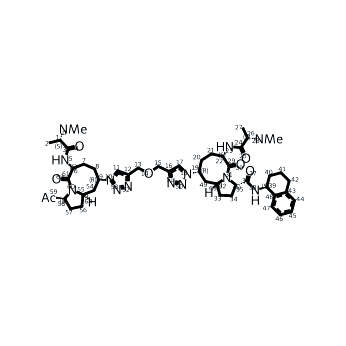 CN[C@@H](C)C(=O)N[C@H]1CC[C@@H](n2cc(COCc3cn([C@@H]4CC[C@H](NC(=O)[C@H](C)NC)C(=O)N5[C@H](CC[C@H]5C(=O)N[C@H]5CCCc6ccccc65)C4)nn3)nn2)C[C@H]2CC[C@@H](C(C)=O)N2C1=O